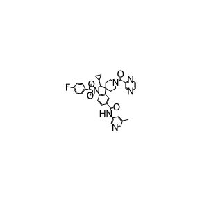 Cc1cncc(NC(=O)c2ccc3c(c2)C2(CCN(C(=O)c4cnccn4)CC2)C(C2CC2)N3S(=O)(=O)c2ccc(F)cc2)c1